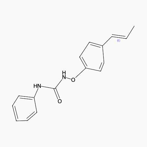 C/C=C/c1ccc(ONC(=O)Nc2ccccc2)cc1